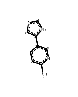 Oc1ccc(-c2cscn2)cn1